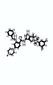 CN1CCN(c2ccc(C(=O)Nc3n[nH]c4c3CN(S(=O)(=O)c3cc(F)cc(F)c3)C4(C)C)c(NCc3ccccc3)c2)CC1